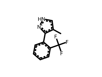 Cc1c[nH]nc1-c1ccccc1C(F)(F)F